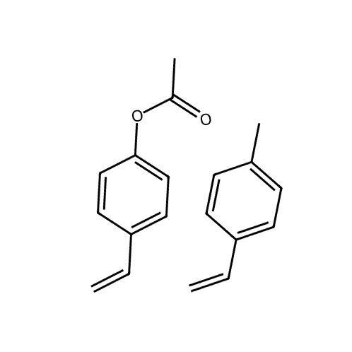 C=Cc1ccc(C)cc1.C=Cc1ccc(OC(C)=O)cc1